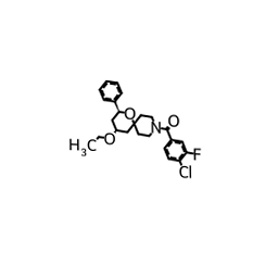 CCO[C@H]1C[C@@H](c2ccccc2)OC2(CCN(C(=O)c3ccc(Cl)c(F)c3)CC2)C1